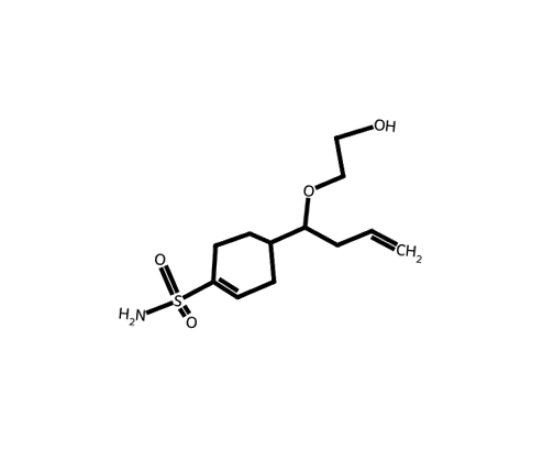 C=CCC(OCCO)C1CC=C(S(N)(=O)=O)CC1